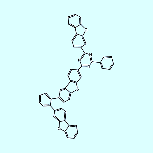 c1ccc(-c2nc(-c3ccc4c(c3)oc3ccccc34)nc(-c3ccc4c(c3)sc3ccc(-c5ccccc5-c5ccc6c(c5)oc5ccccc56)cc34)n2)cc1